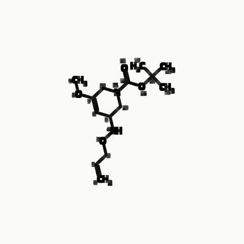 C=CCONC1C=C(OC)CN(C(=O)OC(C)(C)C)C1